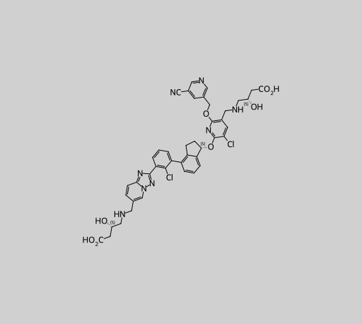 N#Cc1cncc(COc2nc(O[C@H]3CCc4c(-c5cccc(-c6nc7ccc(CNC[C@@H](O)CC(=O)O)cn7n6)c5Cl)cccc43)c(Cl)cc2CNC[C@@H](O)CC(=O)O)c1